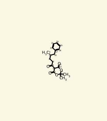 C[C@H](CCC(=O)C1C(=O)OC(C)(C)OC1=O)Cc1ccccc1